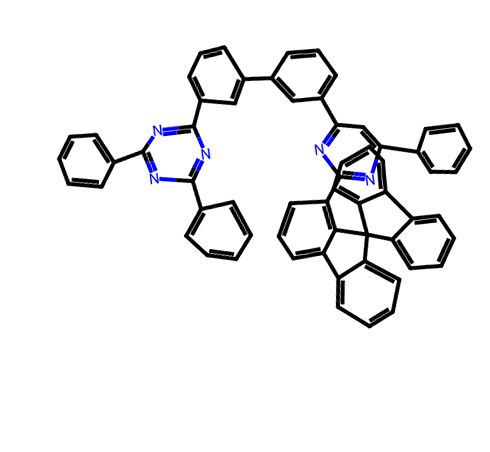 c1ccc(-c2cc(-c3cccc(-c4cccc(-c5nc(-c6ccccc6)nc(-c6ccccc6)n5)c4)c3)nc(-c3cccc4c3C3(c5ccccc5-c5ccccc53)c3ccccc3-4)n2)cc1